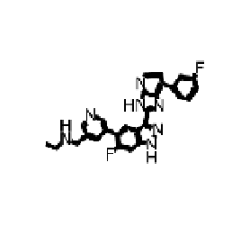 CCNCc1cncc(-c2cc3c(-c4nc5c(-c6cccc(F)c6)ccnc5[nH]4)n[nH]c3cc2F)c1